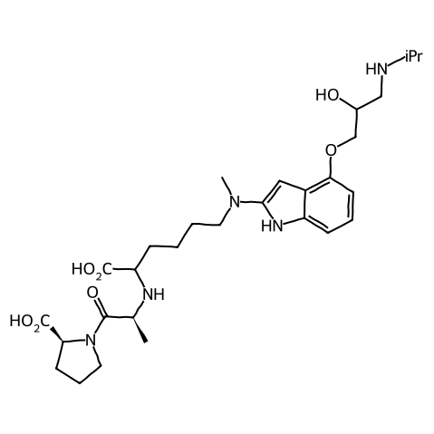 CC(C)NCC(O)COc1cccc2[nH]c(N(C)CCCCC(N[C@@H](C)C(=O)N3CCC[C@H]3C(=O)O)C(=O)O)cc12